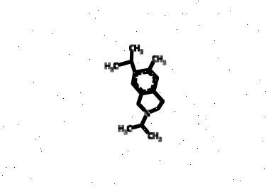 Cc1cc2c(cc1C(C)C)CN(C(C)C)CC2